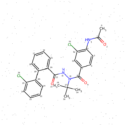 CC(=O)Nc1ccc(C(=O)N(NC(=O)c2ccccc2-c2ccccc2Cl)C(C)(C)C)cc1Cl